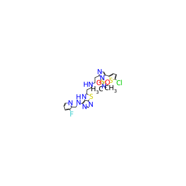 CN(C)S(=O)(=O)n1c(-c2ccc(Cl)s2)cnc1CCNCCc1nc2c(NCc3ncccc3F)ncnc2s1